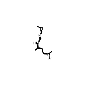 C/N=C\N=C\NC(C)CCN(C)C(C)=O